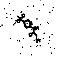 CC(C)CC(=O)Nc1ccc(S(C)(=O)=O)cn1